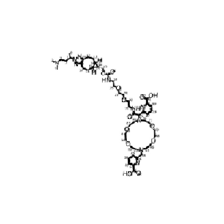 CC(CCN(C)I)n1nc2c(n1)CC[C@H]1[C@@H](CC2)[C@H]1COC(=O)NCCOCCOCCNC(=O)C(c1cccc(C(=O)O)n1)N1CCOCCOCCN(Cc2cccc(C(=O)O)n2)CCOCCOCC1